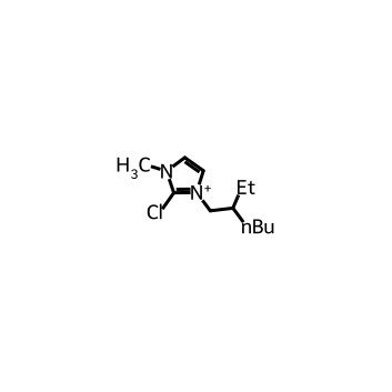 CCCCC(CC)C[n+]1ccn(C)c1Cl